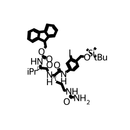 CC(C)[C@H](NC(=O)OCC1c2ccccc2-c2ccccc21)C(=O)N[C@@H](CCCNC(N)=O)C(=O)Nc1ccc(CO[Si](C)(C)C(C)(C)C)c(I)c1